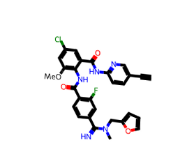 C#Cc1ccc(NC(=O)c2cc(Cl)cc(OC)c2NC(=O)c2ccc(C(=N)N(C)Cc3ccco3)cc2F)nc1